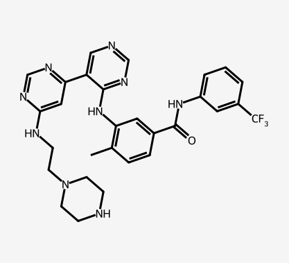 Cc1ccc(C(=O)Nc2cccc(C(F)(F)F)c2)cc1Nc1ncncc1-c1cc(NCCN2CCNCC2)ncn1